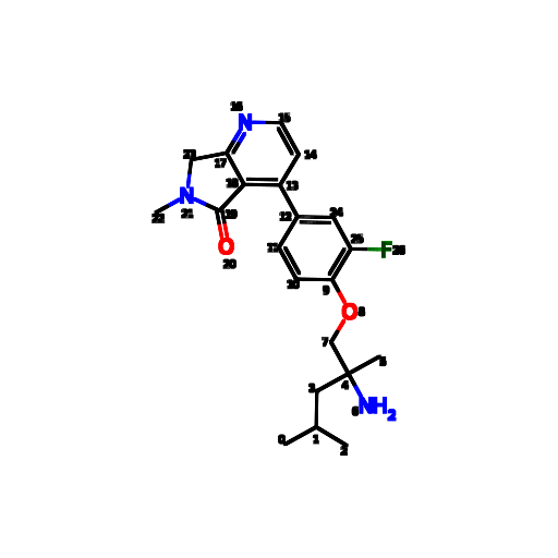 CC(C)CC(C)(N)COc1ccc(-c2ccnc3c2C(=O)N(C)C3)cc1F